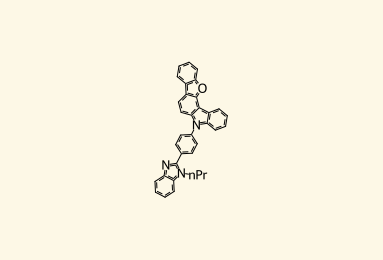 CCCn1c(-c2ccc(-n3c4ccccc4c4c5oc6ccccc6c5ccc43)cc2)nc2ccccc21